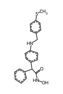 CSc1ccc(CNc2ccc(C(C(=O)NO)c3ccccc3)cc2)cc1